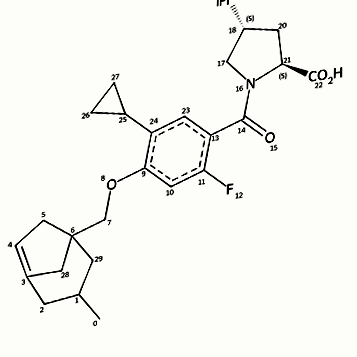 CC1CC2=CCC(COc3cc(F)c(C(=O)N4C[C@H](C(C)C)C[C@H]4C(=O)O)cc3C3CC3)(C2)C1